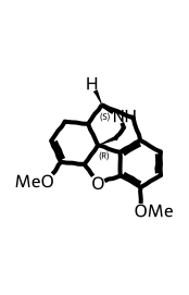 COC1=CCC2[C@@H]3Cc4ccc(OC)c5c4[C@]2(CCN3)C1O5